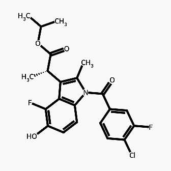 Cc1c([C@H](C)C(=O)OC(C)C)c2c(F)c(O)ccc2n1C(=O)c1ccc(Cl)c(F)c1